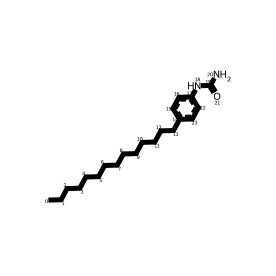 CCCCCCCCCCCCCCc1ccc(NC(N)=O)cc1